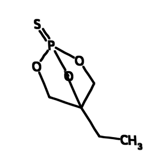 CCC12COP(=S)(OC1)OC2